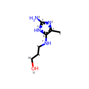 Cc1nc(N)[nH]c1NCCCO